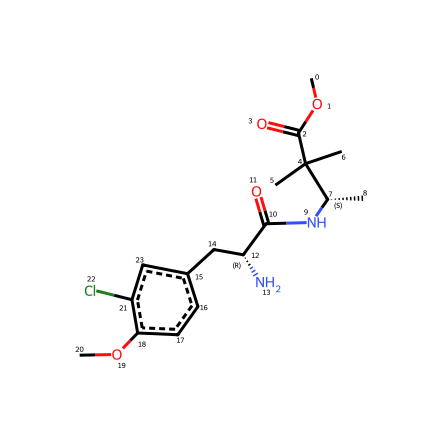 COC(=O)C(C)(C)[C@H](C)NC(=O)[C@H](N)Cc1ccc(OC)c(Cl)c1